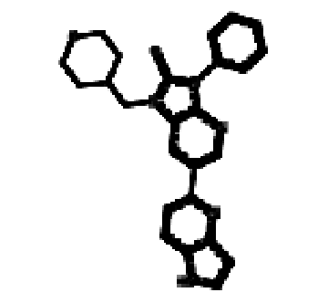 O=c1n(CC2CCOCC2)c2cc(-c3ccc4[nH]ccc4n3)cnc2n1-c1ccccc1